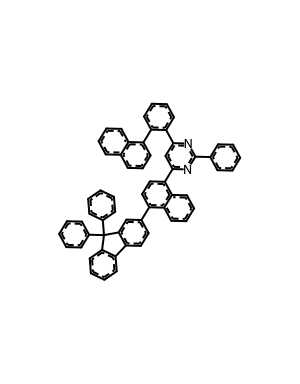 c1ccc(-c2nc(-c3ccccc3-c3cccc4ccccc34)cc(-c3ccc(-c4ccc5c(c4)C(c4ccccc4)(c4ccccc4)c4ccccc4-5)c4ccccc34)n2)cc1